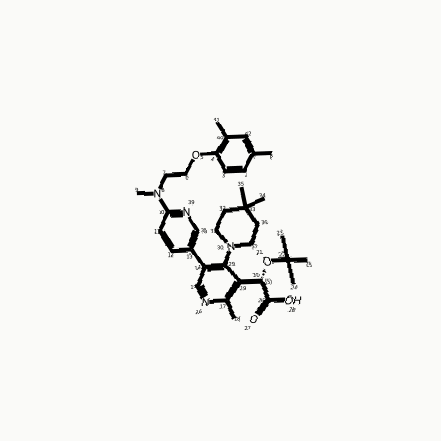 Cc1ccc(OCCN(C)c2ccc(-c3cnc(C)c([C@H](OC(C)(C)C)C(=O)O)c3N3CCC(C)(C)CC3)cn2)c(C)c1